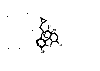 Oc1ccc2c3c1OC1C(O)CCC4(O)[C@@H](C2)N(CC2CC2)CC[C@]314